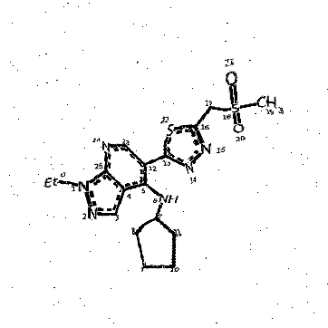 CCn1ncc2c(NC3CCCC3)c(-c3nnc(CS(C)(=O)=O)s3)cnc21